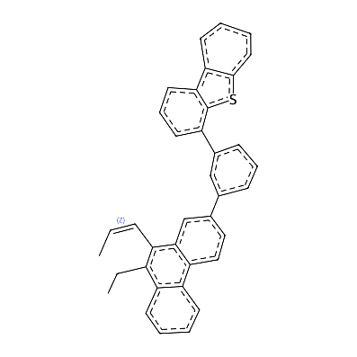 C/C=C\c1c(CC)c2ccccc2c2ccc(-c3cccc(-c4cccc5c4sc4ccccc45)c3)cc12